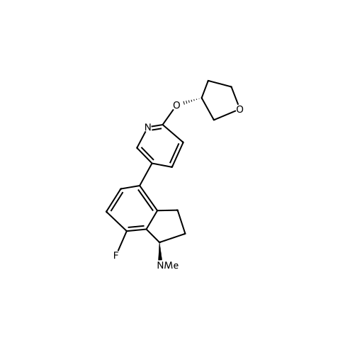 CN[C@@H]1CCc2c(-c3ccc(O[C@@H]4CCOC4)nc3)ccc(F)c21